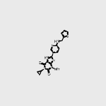 CCCn1c(=O)n(C2CC2)c(=O)c2[nH]c(-c3ccc(NCc4cccs4)nc3)nc21